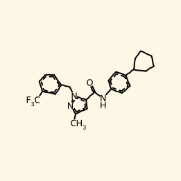 Cc1cc(C(=O)Nc2ccc(C3CCCCC3)cc2)n(Cc2cccc(C(F)(F)F)c2)n1